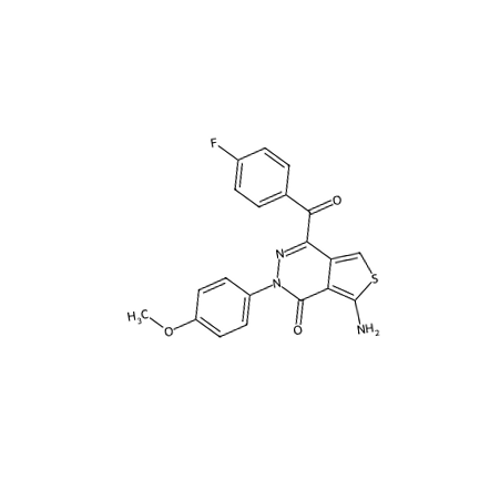 COc1ccc(-n2nc(C(=O)c3ccc(F)cc3)c3csc(N)c3c2=O)cc1